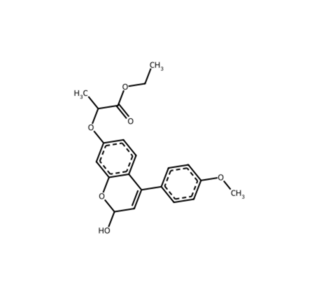 CCOC(=O)C(C)Oc1ccc2c(c1)OC(O)C=C2c1ccc(OC)cc1